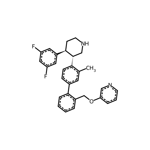 Cc1cc(-c2ccccc2COc2cccnc2)ccc1[C@H]1CNCC[C@@H]1c1cc(F)cc(F)c1